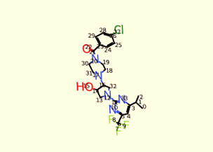 CC(C)c1cc(C(F)(F)F)nc(N2CC(O)C(N3CCN(C(=O)c4ccc(Cl)cc4)CC3)C2)n1